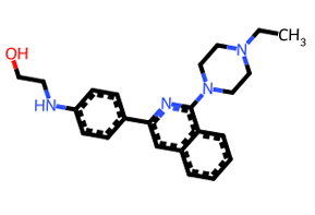 CCN1CCN(c2nc(-c3ccc(NCCO)cc3)cc3ccccc23)CC1